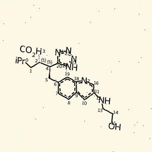 CC(C)C[C@H](C(=O)O)[C@H](Cc1ccc2cc(NCCO)cnc2c1)c1nnn[nH]1